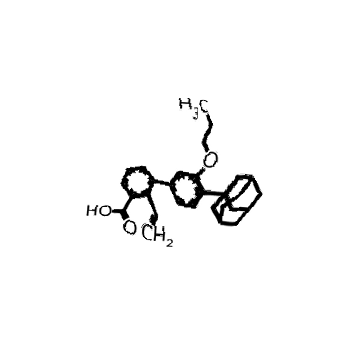 C=Cc1c(C(=O)O)cccc1-c1ccc(C23CC4CC(CC(C4)C2)C3)c(OCCC)c1